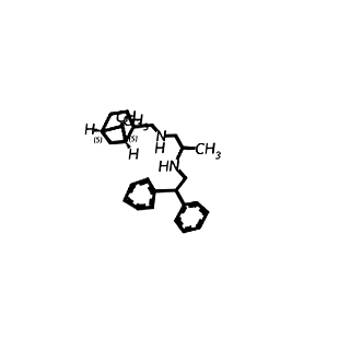 CC(CNCC1CC[C@H]2C[C@@H]1C2(C)C)NCC(c1ccccc1)c1ccccc1